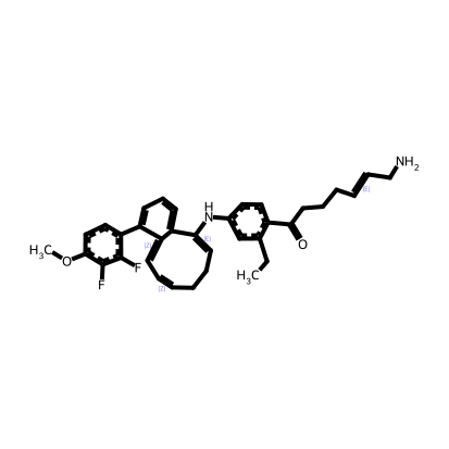 CCc1cc(N/C2=C/CC/C=C\C=C3/C2=C=CC=C3c2ccc(OC)c(F)c2F)ccc1C(=O)CCC/C=C/CN